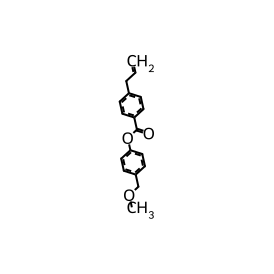 C=CCc1ccc(C(=O)Oc2ccc(COC)cc2)cc1